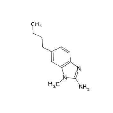 CCCCc1ccc2nc(N)n(C)c2c1